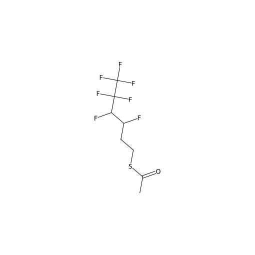 CC(=O)SCCC(F)C(F)C(F)(F)C(F)(F)F